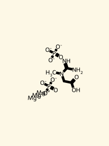 CN(CC(=O)O)C(=N)N.O=P([O-])([O-])[O-].O=P([O-])([O-])[O-].[Mg+2].[Mg+2].[Mg+2]